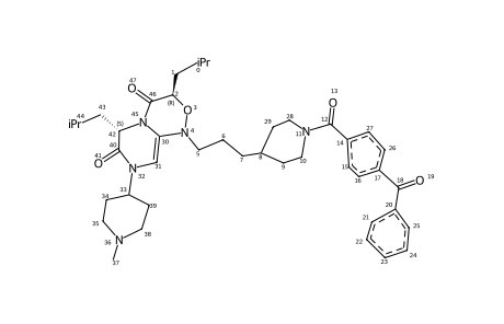 CC(C)C[C@H]1ON(CCCC2CCN(C(=O)c3ccc(C(=O)c4ccccc4)cc3)CC2)C2=CN(C3CCN(C)CC3)C(=O)[C@H](CC(C)C)N2C1=O